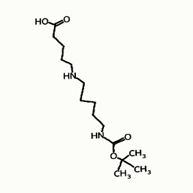 CC(C)(C)OC(=O)NCCCCCNCCCCC(=O)O